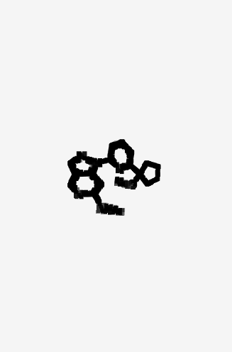 COC1(c2cccc(-n3ncc4cnc(NC(C)=O)cc43)n2)CCCC1